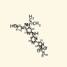 CC(C)n1nc(N2CC[C@@H](O)C2)c2cnc(Nc3ccnc(-c4cnn(S(=O)(=O)C5CC5)c4)n3)cc21